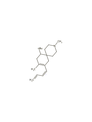 C=C/C=C\C1=C(C)CC(CCCC)C2(CCN(C)CC2)C1